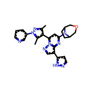 Cc1nn(-c2cccnc2)c(C)c1-c1cc(N2C3CCC2COC3)nc2c(-c3ccn[nH]3)cnn12